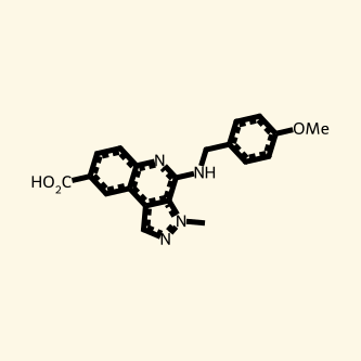 COc1ccc(CNc2nc3ccc(C(=O)O)cc3c3cnn(C)c23)cc1